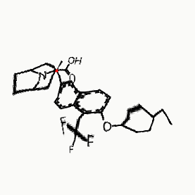 CCC1CCC(Oc2ccc3cc([C@H](C)N4C5CCC4CC(C(=O)O)C5)ccc3c2C(F)(F)F)CC1